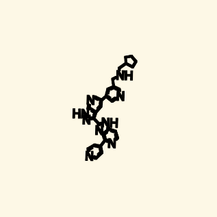 c1cc(-c2nccc3[nH]c(-c4n[nH]c5ncc(-c6cncc(CNCC7CCCC7)c6)cc45)nc23)ccn1